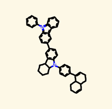 C1=CC2CCC=C(c3ccc(N4c5ccc(-c6ccc7c(c6)c6ccccc6n7-c6ccccc6)cc5C5CCCCC54)cc3)C2CC1